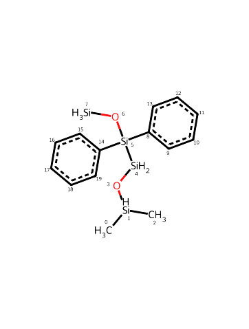 C[SiH](C)O[SiH2][Si](O[SiH3])(c1ccccc1)c1ccccc1